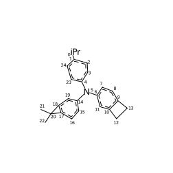 CC(C)c1ccc(N(c2ccc3c(c2)CC3)c2ccc3c(c2)C3(C)C)cc1